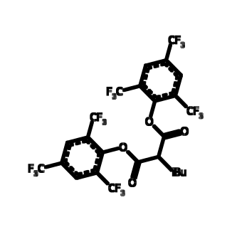 CCC(C)C(C(=O)Oc1c(C(F)(F)F)cc(C(F)(F)F)cc1C(F)(F)F)C(=O)Oc1c(C(F)(F)F)cc(C(F)(F)F)cc1C(F)(F)F